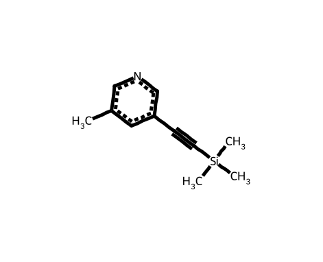 Cc1cncc(C#C[Si](C)(C)C)c1